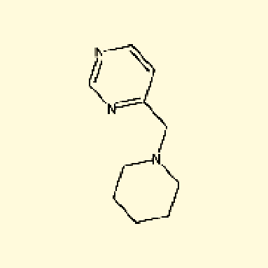 c1cc(CN2CCCCC2)ncn1